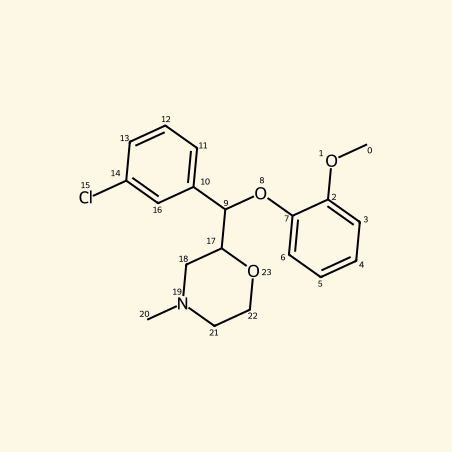 COc1ccccc1OC(c1cccc(Cl)c1)C1CN(C)CCO1